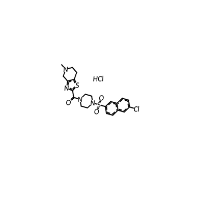 CN1CCc2sc(C(=O)N3CCN(S(=O)(=O)c4ccc5cc(Cl)ccc5c4)CC3)nc2C1.Cl